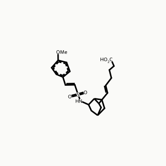 COc1ccc(/C=C/S(=O)(=O)NC2CC3CCC2C(/C=C/CCCC(=O)O)C3)cc1